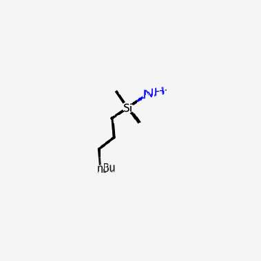 CCCCCCC[Si](C)(C)[NH]